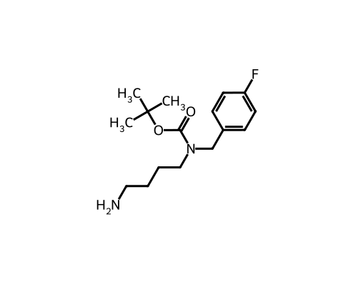 CC(C)(C)OC(=O)N(CCCCN)Cc1ccc(F)cc1